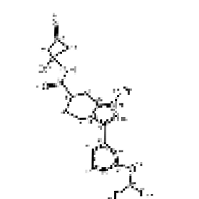 CCC1(NC(=O)C2CCc3c(-c4cccc(OC(F)F)c4)nn(C(C)C)c3C2)CC(=S)C1